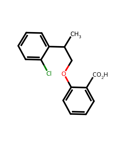 CC(COc1ccccc1C(=O)O)c1ccccc1Cl